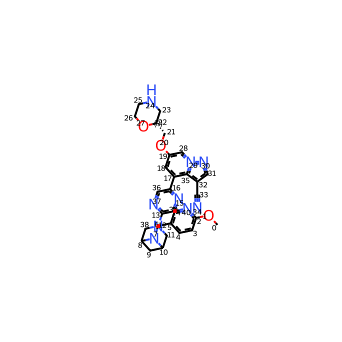 COc1ccc(CN2C3CC2CN(c2cnc(-c4cc(OC[C@H]5CNCCO5)cn5ncc(C#N)c45)cn2)C3)cn1